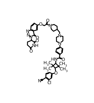 CC1(C)C(NC(=O)c2ccc(N3CCN(CC4CCN(C(=O)COc5ccc6nnn(C7CCC(=O)NC7=O)c(=O)c6c5)CC4)CC3)cc2)C(C)(C)C1Oc1ccc(C#N)c(Cl)c1